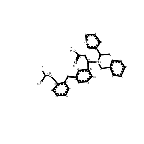 CC(c1ccccc1)N(Cc1ccccc1)C(CC(=O)O)c1cccc(Cc2ccccc2OC(F)F)c1